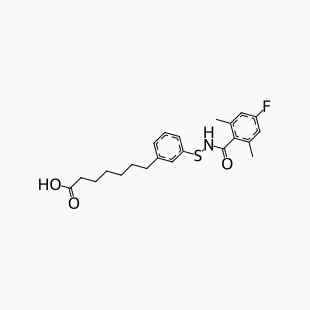 Cc1cc(F)cc(C)c1C(=O)NSc1cccc(CCCCCCC(=O)O)c1